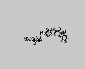 CC(C)(C)OC(=O)NCCCCNS(=O)(=O)c1ccc(C(=O)N2Cc3ccccc3C2=O)cc1